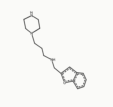 c1ccc2oc(CNCCCN3CCNCC3)cc2c1